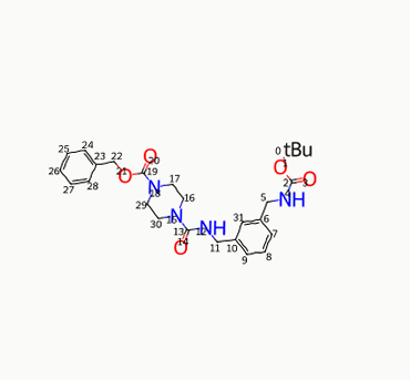 CC(C)(C)OC(=O)NCc1cccc(CNC(=O)N2CCN(C(=O)OCc3ccccc3)CC2)c1